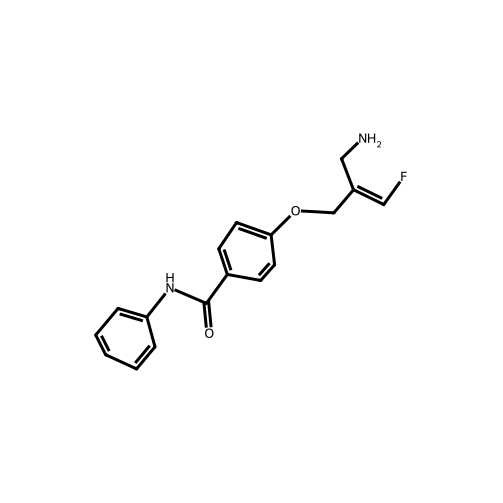 NC/C(=C\F)COc1ccc(C(=O)Nc2ccccc2)cc1